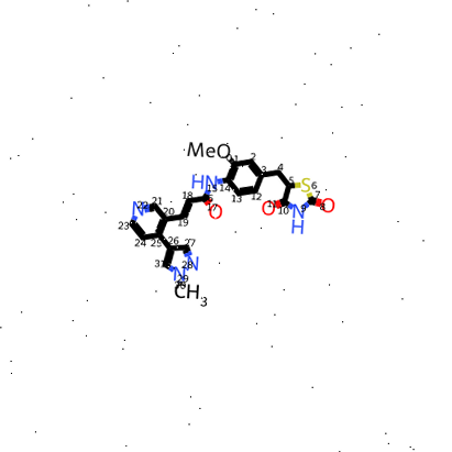 COc1cc(CC2SC(=O)NC2=O)ccc1NC(=O)C=Cc1cnccc1-c1cnn(C)c1